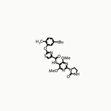 COc1nc(N2CCNC2=O)nc(OC)c1NC(=O)c1csc(Oc2cc(C(C)(C)C)ccc2C)n1